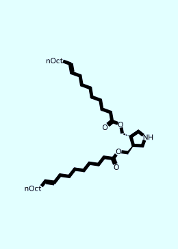 CCCCCCCCC=CCCCCCCCC(=O)OC[C@@H]1CNC[C@H]1COC(=O)CCCCCCCC=CCCCCCCCC